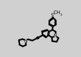 CSc1ccc(C2CN3CCCC3c3cc(C#CCCN4CCCCC4)ccc32)cc1